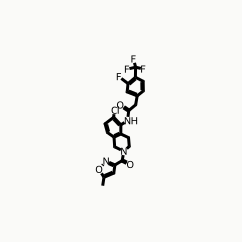 Cc1cc(C(=O)N2CCc3c(ccc(Cl)c3NC(=O)Cc3ccc(C(F)(F)F)c(F)c3)C2)no1